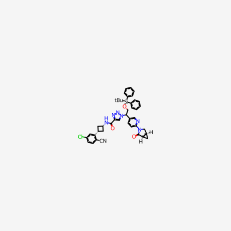 CC(C)(C)[Si](OCC(c1ccc(N2C[C@H]3C[C@H]3C2=O)nc1)n1cc(C(=O)N[C@H]2C[C@@H](c3cc(Cl)ccc3C#N)C2)nn1)(c1ccccc1)c1ccccc1